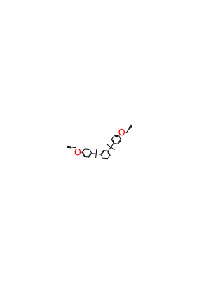 C#CCOc1ccc(C(C)(C)c2cccc(C(C)(C)c3ccc(OCC#C)cc3)c2)cc1